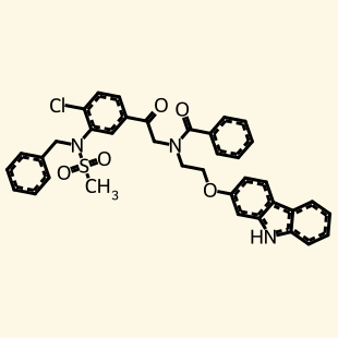 CS(=O)(=O)N(Cc1ccccc1)c1cc(C(=O)CN(CCOc2ccc3c(c2)[nH]c2ccccc23)C(=O)c2ccccc2)ccc1Cl